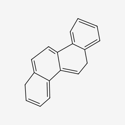 C1=CCc2ccc3c(c2=C1)=CCc1ccccc1-3